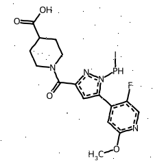 COc1cc(-c2cc(C(=O)N3CCC(C(=O)O)CC3)nn2PI)c(F)cn1